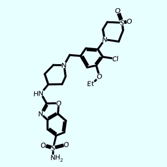 CCOc1cc(CN2CCC(Nc3nc4cc(S(N)(=O)=O)ccc4o3)CC2)cc(N2CCS(=O)(=O)CC2)c1Cl